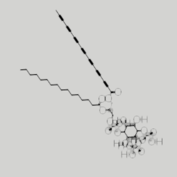 CC#CC#CC#CC#CC#CC#CC#CC(=O)OC[C@H](COP(=O)(O)OC1C(O)[C@@H](O)C(OP(=O)(O)O)[C@@H](OP(=O)(O)O)[C@H]1O)OC(=O)CCCCCCCCCCCCCCC